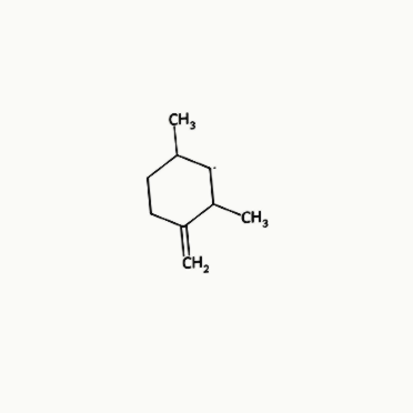 C=C1CCC(C)[CH]C1C